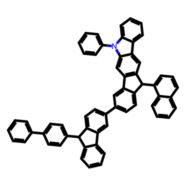 c1ccc(-c2ccc(C3c4ccccc4-c4cc(-c5ccc6c(c5)-c5cc7c(cc5C6c5cccc6ccccc56)c5ccccc5n7-c5ccccc5)ccc43)cc2)cc1